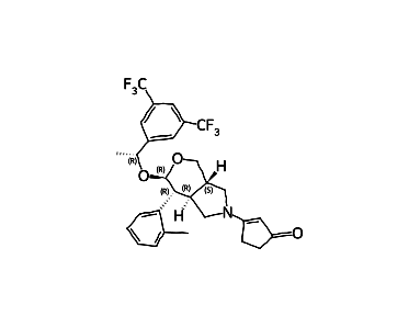 Cc1ccccc1[C@@H]1[C@@H](O[C@H](C)c2cc(C(F)(F)F)cc(C(F)(F)F)c2)OC[C@@H]2CN(C3=CC(=O)CC3)C[C@H]21